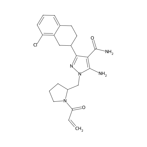 C=CC(=O)N1CCCC1Cn1nc(C2CCc3cccc(Cl)c3C2)c(C(N)=O)c1N